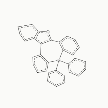 c1ccc([Si]2(c3ccccc3)c3ccccc3-c3oc4ccccc4c3-c3ccccc32)cc1